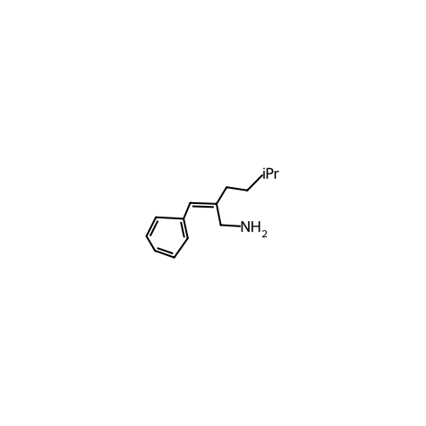 CC(C)CCC(=Cc1ccccc1)CN